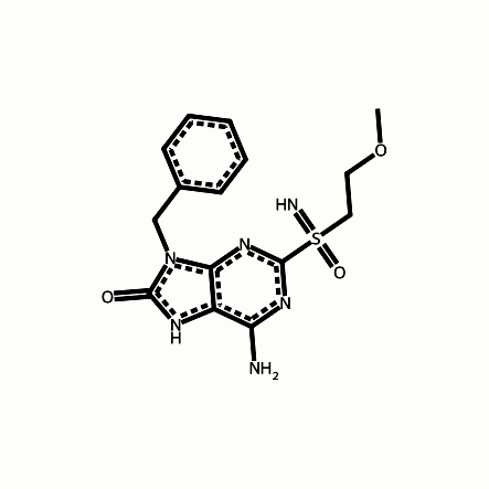 COCCS(=N)(=O)c1nc(N)c2[nH]c(=O)n(Cc3ccccc3)c2n1